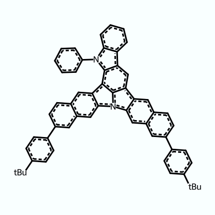 CC(C)(C)c1ccc(-c2ccc3cc4c5cc6c7ccccc7n(-c7ccccc7)c6c6c7cc8ccc(-c9ccc(C(C)(C)C)cc9)cc8cc7n(c4cc3c2)c56)cc1